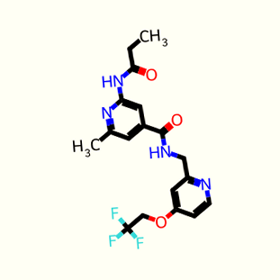 CCC(=O)Nc1cc(C(=O)NCc2cc(OCC(F)(F)F)ccn2)cc(C)n1